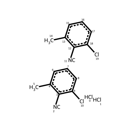 Cl.Cl.[C-]#[N+]c1c(C)cccc1Cl.[C-]#[N+]c1c(C)cccc1Cl